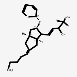 CCCCC(F)(F)C(O)/C=C/C1[C@H]2C/C(=C/CCCC(=O)O)C[C@H]2C[C@H]1O[C@H]1C=CC=CO1